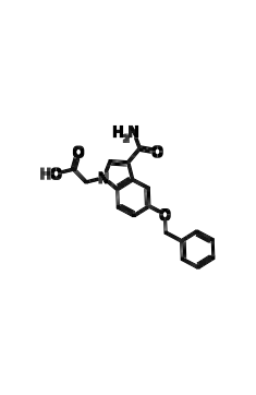 NC(=O)c1cn(CC(=O)O)c2ccc(OCc3ccccc3)cc12